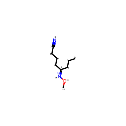 CCC/C(CCCC#N)=N\OC